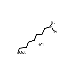 CCCCCCCCCCCCCCCN(CC)C(C)C.Cl